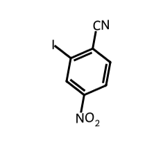 N#Cc1ccc([N+](=O)[O-])cc1I